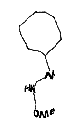 CON[N]C1CCCCC1